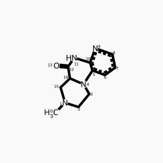 CN1CCN2c3cccnc3NC(=O)C2C1